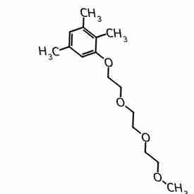 COCCOCCOCCOc1cc(C)cc(C)c1C